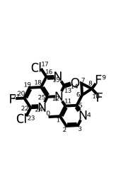 Cc1ccnc(C2CC2(F)F)c1-n1c(=O)nc(Cl)c2cc(F)c(Cl)nc21